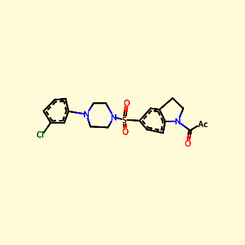 CC(=O)C(=O)N1CCc2cc(S(=O)(=O)N3CCN(c4cccc(Cl)c4)CC3)ccc21